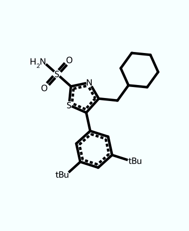 CC(C)(C)c1cc(-c2sc(S(N)(=O)=O)nc2CC2CCCCC2)cc(C(C)(C)C)c1